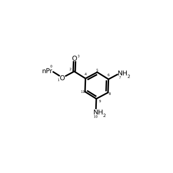 CCCOC(=O)c1cc(N)cc(N)c1